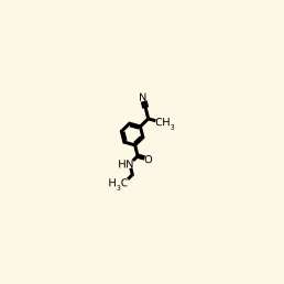 CCNC(=O)c1cccc(C(C)C#N)c1